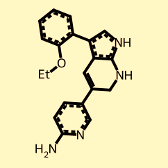 CCOc1ccccc1-c1c[nH]c2c1C=C(c1ccc(N)nc1)CN2